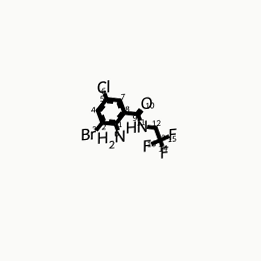 Nc1c(Br)cc(Cl)cc1C(=O)NCC(F)(F)F